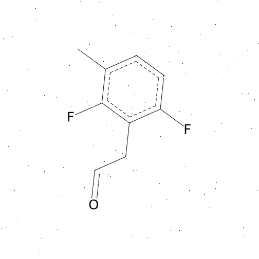 Cc1ccc(F)c(CC=O)c1F